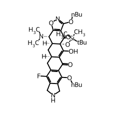 CCCCOc1noc2c1C(=O)[C@@]1(O[Si](C)(C)C(C)(C)C)C(O)=C3C(=O)c4c(c(F)c5c(c4OCCCC)CNC5)C[C@H]3C[C@H]1[C@@H]2N(C)C